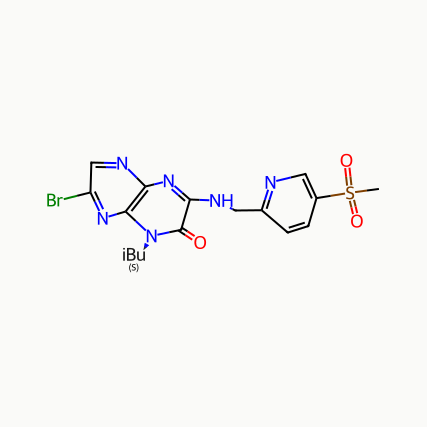 CC[C@H](C)n1c(=O)c(NCc2ccc(S(C)(=O)=O)cn2)nc2ncc(Br)nc21